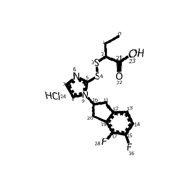 CCC(SSc1nccn1C1Cc2ccc(F)c(F)c2C1)C(=O)O.Cl